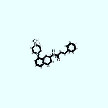 CN1CCN(c2cccc3c2CC(NC(=O)CCc2ccccc2)CC3)CC1